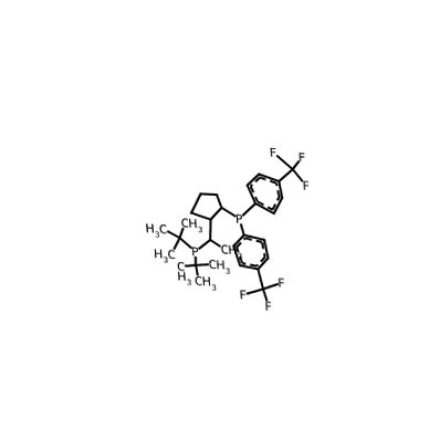 CC(C1CCCC1P(c1ccc(C(F)(F)F)cc1)c1ccc(C(F)(F)F)cc1)P(C(C)(C)C)C(C)(C)C